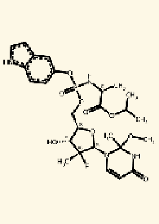 COC1(C)NC(=O)C=CN1[C@@H]1O[C@H](COP(=O)(N[C@@H](C)C(=O)OC(C)C)Oc2ccc3[nH]ccc3c2)[C@@H](O)[C@@]1(C)F